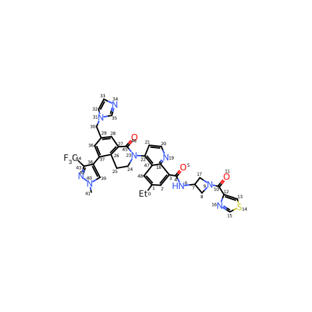 CCc1cc(C(=O)NC2CN(C(=O)c3cscn3)C2)c2nccc(N3CCc4c(cc(Cn5ccnc5)cc4-c4cn(C)nc4C(F)(F)F)C3=O)c2c1